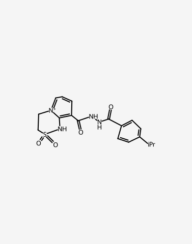 CC(C)c1ccc(C(=O)NNC(=O)c2ccc[n+]3c2NS(=O)(=O)CC3)cc1